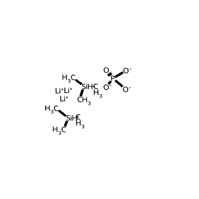 C[SiH](C)C.C[SiH](C)C.O=P([O-])([O-])[O-].[Li+].[Li+].[Li+]